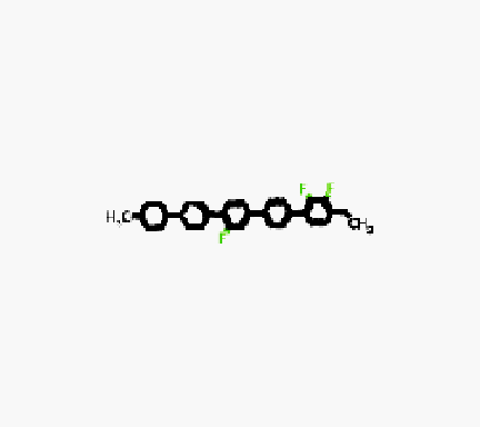 CCc1ccc(-c2ccc(-c3ccc(C4=CCC(C5CCC(C)CC5)CC4)c(F)c3)cc2)c(F)c1F